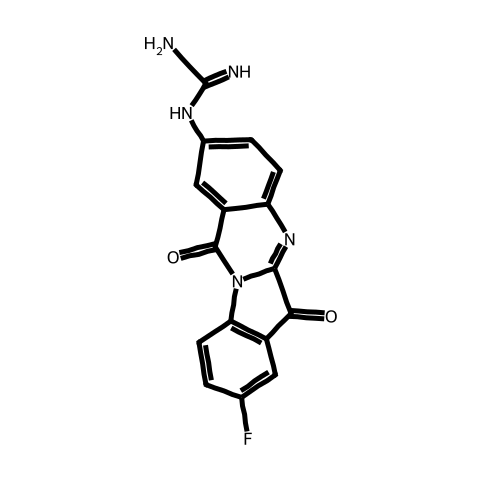 N=C(N)Nc1ccc2nc3n(c(=O)c2c1)-c1ccc(F)cc1C3=O